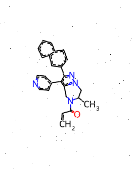 C=CC(=O)N1Cc2c(-c3ccncc3)c(-c3ccc4ccccc4c3)nn2CC1C